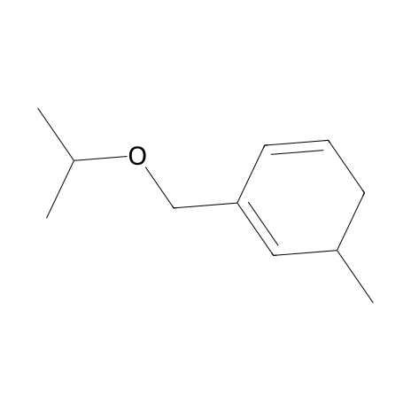 CC1C=C(COC(C)C)C=CC1